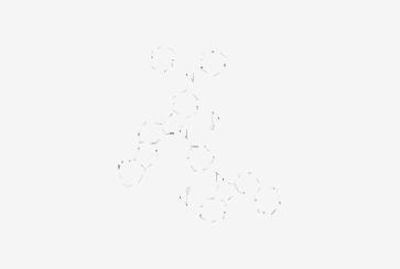 N#Cc1cc(-n2c3ccc(N(c4ccccc4)c4ccccc4)cc3c3ccc4c5ccccc5sc4c32)c(C#N)cc1-n1c2ccccc2c2c3ccccc3ccc21